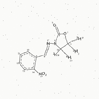 [2H]C1([2H])OC(=O)N(/N=C/c2ccccc2[N+](=O)[O-])C1([2H])[2H]